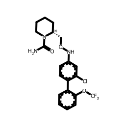 NC(=O)N1CCCC[C@@H]1CONc1ccc(-c2ccccc2OC(F)(F)F)c(Cl)c1